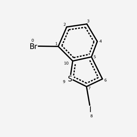 Brc1cccc2cc(I)sc12